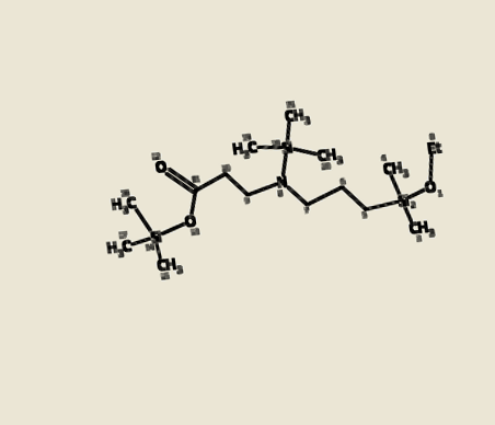 CCO[Si](C)(C)CCCN(CCC(=O)O[Si](C)(C)C)[Si](C)(C)C